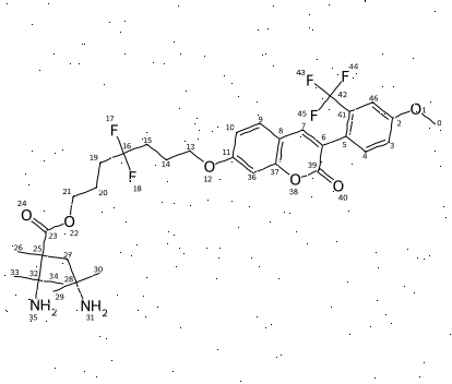 COc1ccc(-c2cc3ccc(OCCCC(F)(F)CCCOC(=O)C(C)(CC(C)(C)N)C(C)(C)N)cc3oc2=O)c(C(F)(F)F)c1